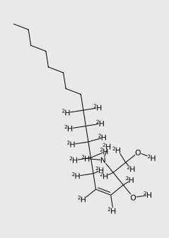 [2H]OC([2H])([2H])C([2H])(N([2H])[2H])C([2H])(O[2H])C([2H])=C([2H])C([2H])([2H])C([2H])([2H])C([2H])([2H])C([2H])([2H])C([2H])([2H])CCCCCCCC